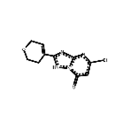 CCc1cc(=O)n2[nH]c(C3=CCOCC3)nc2n1